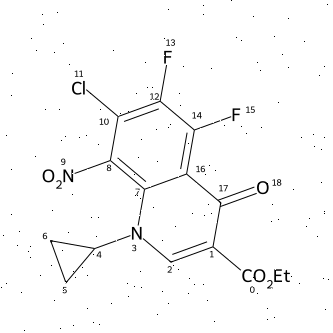 CCOC(=O)c1cn(C2CC2)c2c([N+](=O)[O-])c(Cl)c(F)c(F)c2c1=O